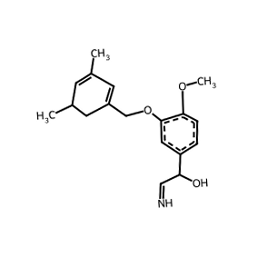 COc1ccc(C(O)C=N)cc1OCC1=CC(C)=CC(C)C1